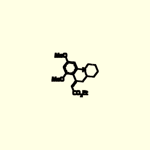 CCOC(=O)C=C1CC2CCCCN2c2cc(OC)cc(OC)c21